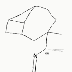 C=N[C@@H](C)C1(C)CCC2C3CC(C1)C23